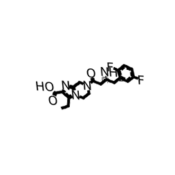 CCc1c(C(=O)O)nc2n1CCN(C(=O)C[C@H](N)Cc1cc(F)ccc1F)C2